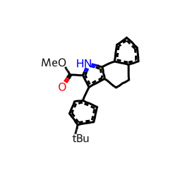 COC(=O)c1[nH]c2c(c1-c1ccc(C(C)(C)C)cc1)CCc1ccccc1-2